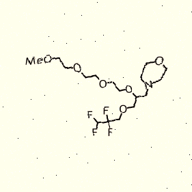 COCCOCCOCCOC(COCC(F)(F)C(F)F)CN1CCOCC1